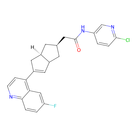 O=C(C[C@H]1CC2C=C(c3ccnc4ccc(F)cc34)C[C@H]2C1)Nc1ccc(Cl)nc1